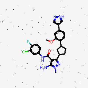 COc1cc(-c2cn[nH]c2)ccc1C1CCC(c2nn(C)c(N)c2C(=O)Nc2ccc(F)c(Cl)c2)C1